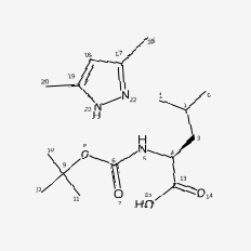 CC(C)C[C@H](NC(=O)OC(C)(C)C)C(=O)O.Cc1cc(C)[nH]n1